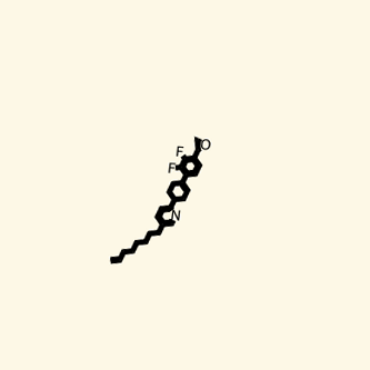 C=CCCCCCCc1ccc(C2CC=C(c3ccc(C4CO4)c(F)c3F)CC2)nc1